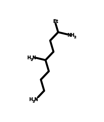 CCC(N)CCC(N)CCCN